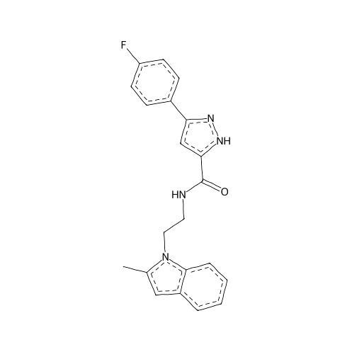 Cc1cc2ccccc2n1CCNC(=O)c1cc(-c2ccc(F)cc2)n[nH]1